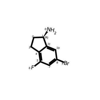 N[C@@H]1CCc2c(F)cc(Br)cc21